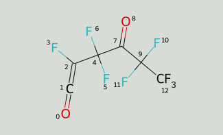 O=C=C(F)C(F)(F)C(=O)C(F)(F)C(F)(F)F